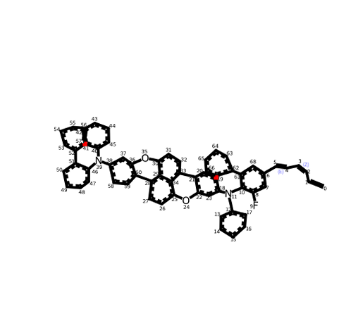 C=C/C=C\C=C\c1cc(F)c(N(c2ccccc2)c2ccc3c(c2)Oc2ccc4c5c(ccc-3c25)Oc2cc(N(c3ccccc3)c3ccccc3-c3ccccc3)ccc2-4)c(-c2ccccc2)c1